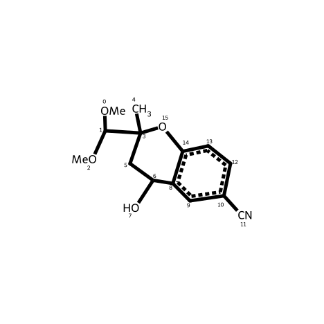 COC(OC)C1(C)CC(O)c2cc(C#N)ccc2O1